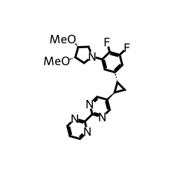 CO[C@H]1CN(c2cc([C@@H]3C[C@H]3c3cnc(-c4ncccn4)nc3)cc(F)c2F)C[C@H]1OC